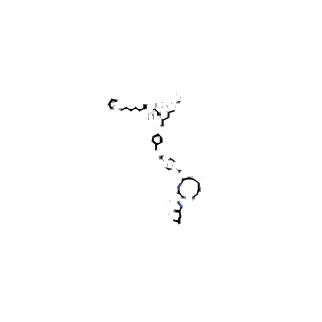 C/C(=C\c1cncc(Cl)c1)[C@H]1OC(=O)C[C@H](O)CC[C@H](C)[C@@H](OC(=O)N2CCN(C(=O)OCc3ccc(NC(=O)C(CCCNC(N)=O)NC(=O)C(NC(=O)CCCCCN4C(=O)C=CC4=O)C(C)C)cc3)CC2)/C=C/[C@@H]1C